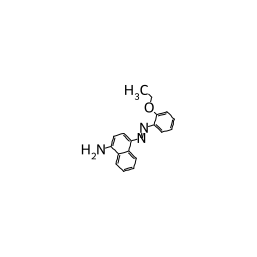 CCOc1ccccc1N=Nc1ccc(N)c2ccccc12